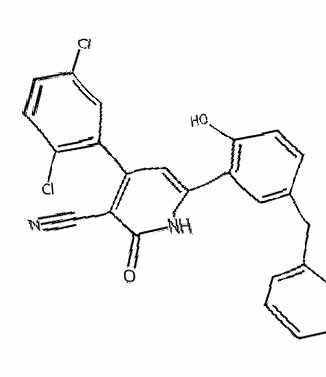 N#Cc1c(-c2cc(Cl)ccc2Cl)cc(-c2cc(Cc3ccccc3)ccc2O)[nH]c1=O